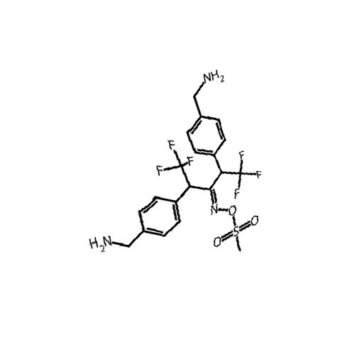 CS(=O)(=O)ON=C(C(c1ccc(CN)cc1)C(F)(F)F)C(c1ccc(CN)cc1)C(F)(F)F